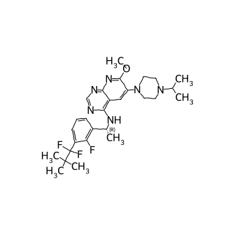 COc1nc2ncnc(N[C@H](C)c3cccc(C(F)(F)C(C)(C)C)c3F)c2cc1N1CCN(C(C)C)CC1